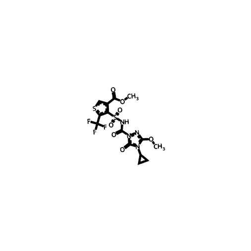 COC(=O)c1csc(C(F)(F)F)c1S(=O)(=O)NC(=O)n1nc(OC)n(C2CC2)c1=O